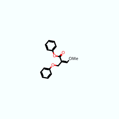 COC=C(COc1ccccc1)C(=O)Oc1ccccc1